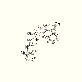 O=C(O)CC(CC1CCN(C(=O)C(I)Cc2ccc3c(n2)NCCC3)CC1)c1ccc2ccccc2c1